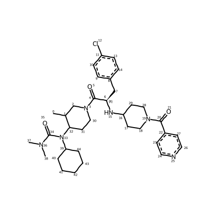 CC1CN(C(=O)[C@@H](Cc2ccc(Cl)cc2)NC2CCN(C(=O)c3ccncc3)CC2)CCC1N(C(=O)N(C)C)C1CCCCC1